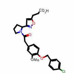 COc1cc(CC(=O)N2CCCC2c2cc(CCC(=O)O)on2)ccc1OCc1ccc(Cl)cc1